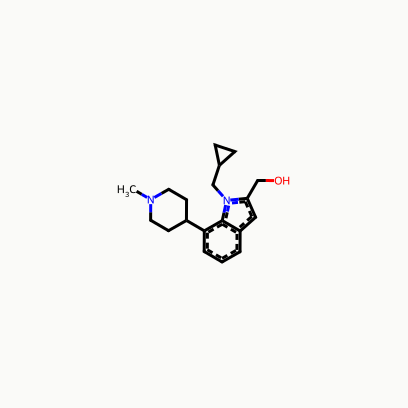 CN1CCC(c2cccc3cc(CO)n(CC4CC4)c23)CC1